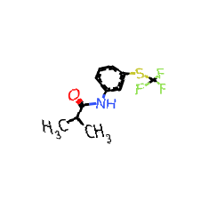 CC(C)C(=O)Nc1cccc(SC(F)(F)F)c1